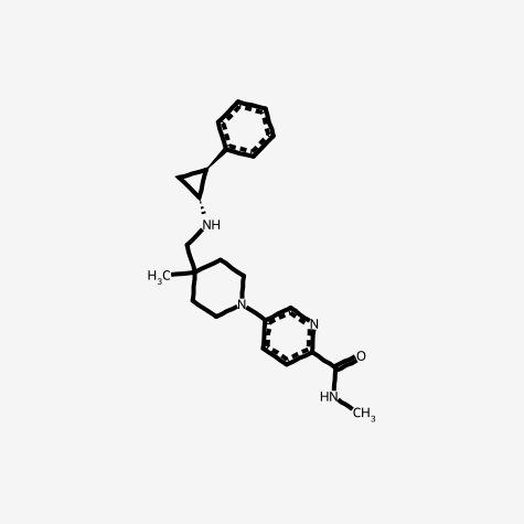 CNC(=O)c1ccc(N2CCC(C)(CN[C@@H]3C[C@H]3c3ccccc3)CC2)cn1